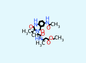 CCOC(=O)C[C@@H](C)NC(=O)CN1C(=O)c2cc(NC(C)=O)ccc2NC(=O)[C@@H]1C(C)C